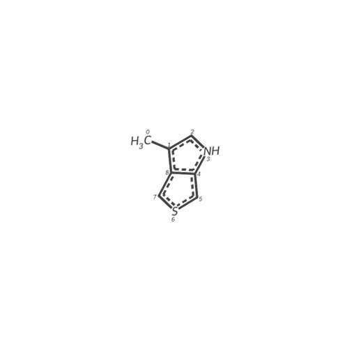 Cc1c[nH]c2cscc12